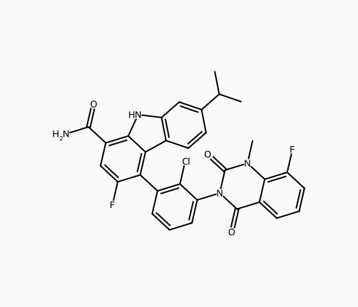 CC(C)c1ccc2c(c1)[nH]c1c(C(N)=O)cc(F)c(-c3cccc(-n4c(=O)c5cccc(F)c5n(C)c4=O)c3Cl)c12